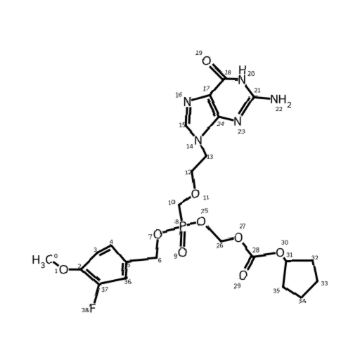 COc1ccc(COP(=O)(COCCn2cnc3c(=O)[nH]c(N)nc32)OCOC(=O)OC2CCCC2)cc1F